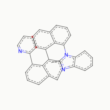 Cc1nc2ccccc2n1-c1cccc2cccc(-c3cccc4cccc(-c5ccccn5)c34)c12